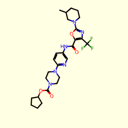 CC1CCCN(c2nc(C(F)(F)F)c(C(=O)Nc3ccc(N4CCN(C(=O)OC5CCCC5)CC4)nc3)o2)C1